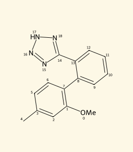 COc1cc(C)ccc1-c1ccccc1-c1nn[nH]n1